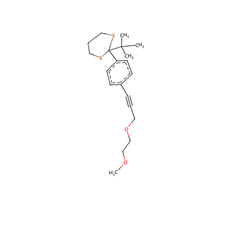 COCCOCC#Cc1ccc(C2(C(C)(C)C)SCCCS2)cc1